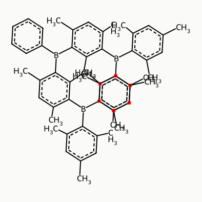 Cc1cc(C)c(B(c2c(C)cc(C)cc2C)c2c(C)cc(C)c(B(c3ccccc3)c3c(C)cc(C)c(B(c4c(C)cc(C)cc4C)c4c(C)cc(C)cc4C)c3C)c2C)c(C)c1